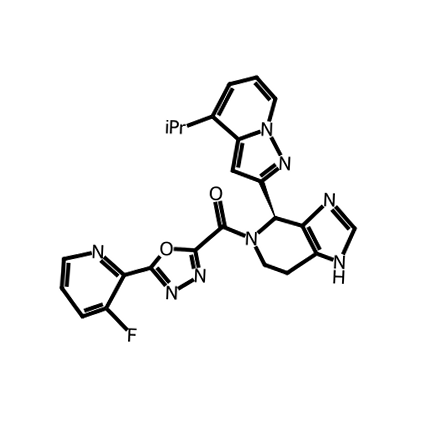 CC(C)c1cccn2nc([C@H]3c4nc[nH]c4CCN3C(=O)c3nnc(-c4ncccc4F)o3)cc12